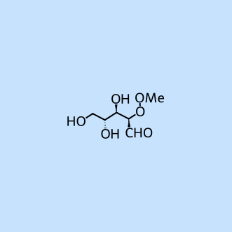 COO[C@@H](C=O)[C@H](O)[C@H](O)CO